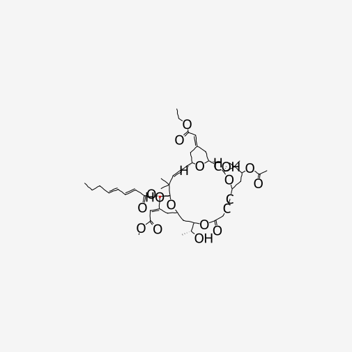 CCC/C=C/C=C/C(=O)O[C@H]1/C(=C/C(=O)OC)CC2CC([C@@H](C)O)OC(=O)CCCC3CC(OC(C)=O)C(C)(C)[C@](O)(C[C@@H]4C/C(=C/C(=O)OCC)C[C@H](/C=C/C(C)(C)C1(O)O2)O4)O3